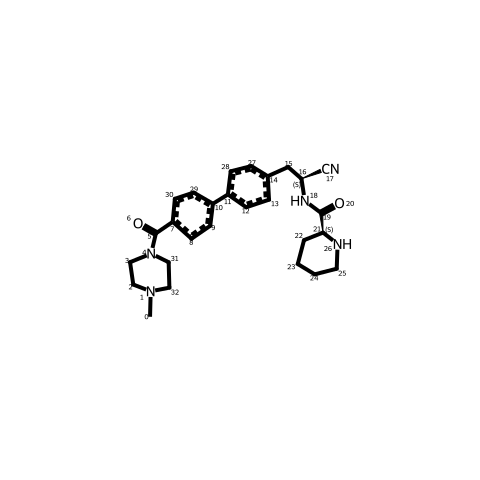 CN1CCN(C(=O)c2ccc(-c3ccc(C[C@@H](C#N)NC(=O)[C@@H]4CCCCN4)cc3)cc2)CC1